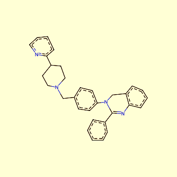 c1ccc(C2=Nc3ccccc3CN2c2ccc(CN3CCC(c4ccccn4)CC3)cc2)cc1